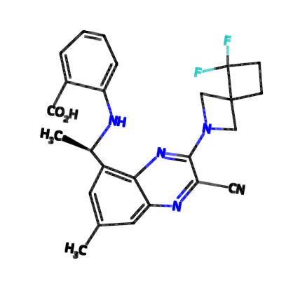 Cc1cc([C@@H](C)Nc2ccccc2C(=O)O)c2nc(N3CC4(CCC4(F)F)C3)c(C#N)nc2c1